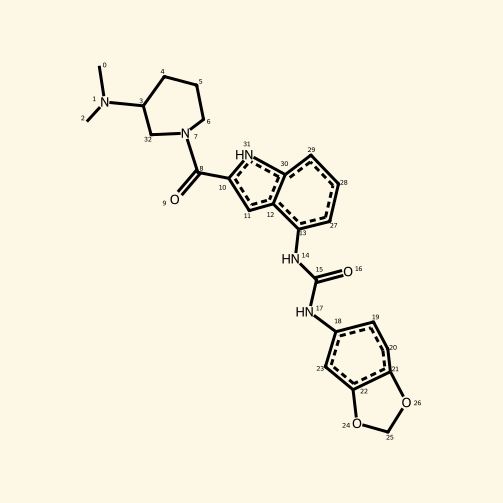 CN(C)C1CCCN(C(=O)c2cc3c(NC(=O)Nc4ccc5c(c4)OCO5)cccc3[nH]2)C1